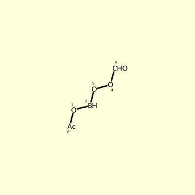 CC(=O)OBOOC=O